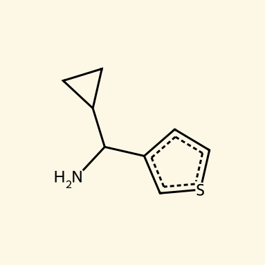 NC(c1ccsc1)C1CC1